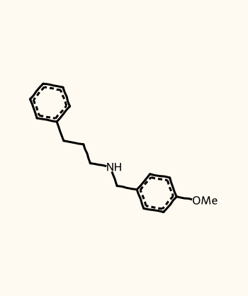 COc1ccc(CNCCCc2ccccc2)cc1